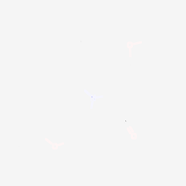 C#COc1ccc2c(=O)c3ccc(OCC)cc3n(CCCC)c2c1